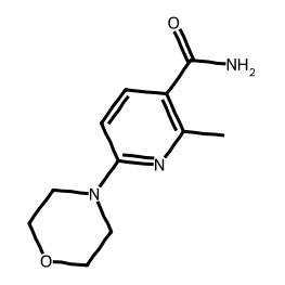 Cc1nc(N2CCOCC2)ccc1C(N)=O